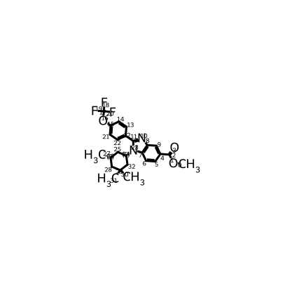 COC(=O)c1ccc2c(c1)nc(-c1ccc(OC(F)(F)F)cc1)n2[C@H]1C[C@@H](C)CC(C)(C)C1